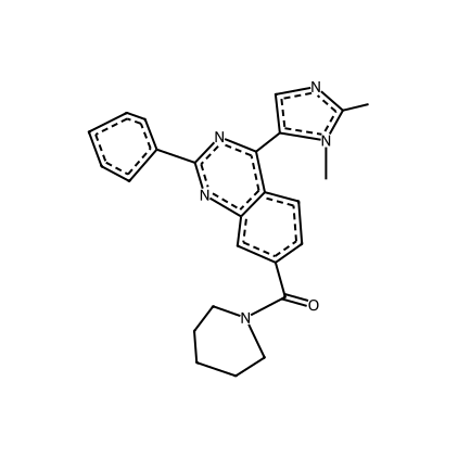 Cc1ncc(-c2nc(-c3ccccc3)nc3cc(C(=O)N4CCCCC4)ccc23)n1C